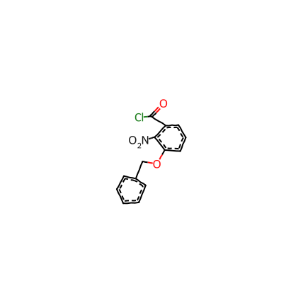 O=C(Cl)c1cccc(OCc2ccccc2)c1[N+](=O)[O-]